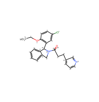 O=C(O)COc1ccc(Cl)cc1C1c2ccccc2CN1C(=O)CCc1cccnc1